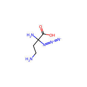 [N-]=[N+]=NC(N)(CCN)C(=O)O